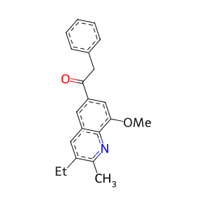 CCc1cc2cc(C(=O)Cc3ccccc3)cc(OC)c2nc1C